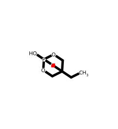 CCC12CO[P](O)(OC1)OC2